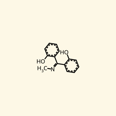 CN=C(c1ccccc1O)c1ccccc1O